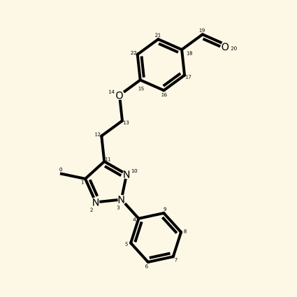 Cc1nn(-c2ccccc2)nc1CCOc1ccc(C=O)cc1